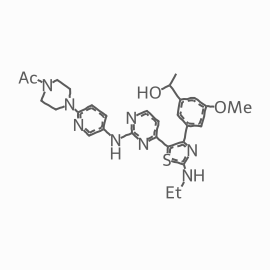 CCNc1nc(-c2cc(OC)cc(C(C)O)c2)c(-c2ccnc(Nc3ccc(N4CCN(C(C)=O)CC4)nc3)n2)s1